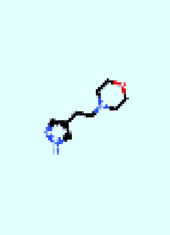 [c]1n[nH]cc1CCN1CCOCC1